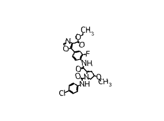 CCOC(=O)c1ncoc1-c1ccc(NC(=O)C2CC(OC)CN2C(=O)Nc2ccc(Cl)cc2)c(F)c1